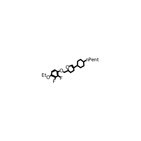 CCCCCC1CCC(C2=COC(COc3ccc(OCC)c(F)c3F)CC2)CC1